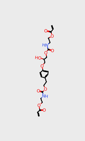 C=CC(=O)OCCNC(=O)OCCc1ccc(OCC(O)COC(=O)NCCOC(=O)C=C)cc1